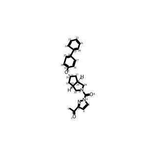 CC(=O)c1ccn(C(=O)N2C[C@H]3C[C@H](Oc4ccc(-c5ccccc5)cc4)C[C@H]3C2)n1